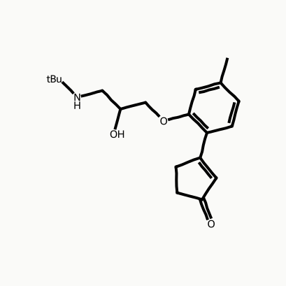 Cc1ccc(C2=CC(=O)CC2)c(OCC(O)CNC(C)(C)C)c1